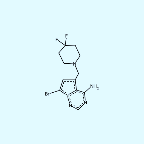 Nc1ncnn2c(Br)cc(CN3CCC(F)(F)CC3)c12